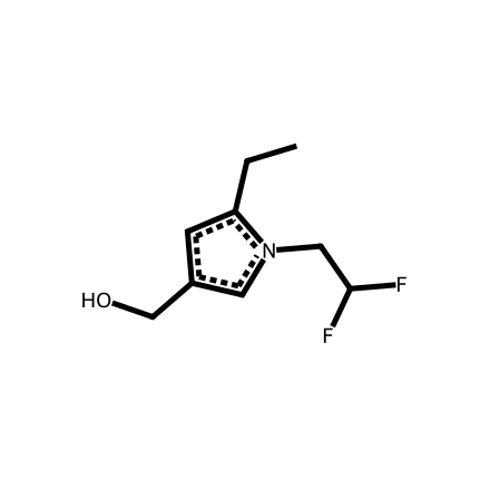 CCc1cc(CO)cn1CC(F)F